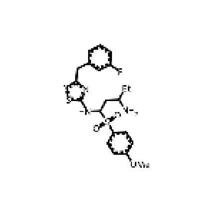 CCC(N)CC(Nc1nc(Cc2cccc(F)c2)ns1)S(=O)(=O)c1ccc(OC)cc1